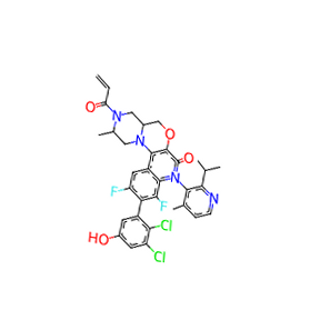 C=CC(=O)N1CC2COc3c(c4cc(F)c(-c5cc(O)cc(Cl)c5Cl)c(F)c4n(-c4c(C)ccnc4C(C)C)c3=O)N2CC1C